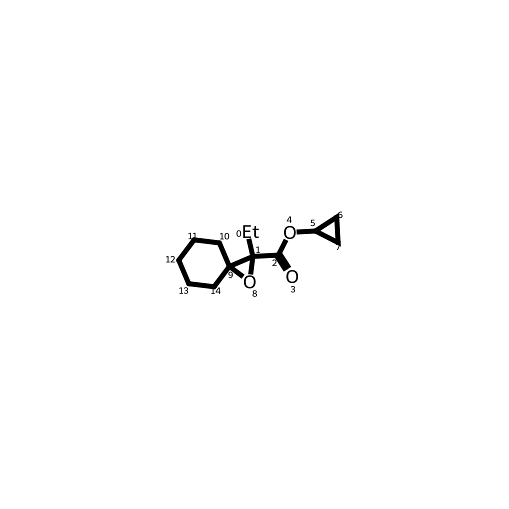 CCC1(C(=O)OC2CC2)OC12CCCCC2